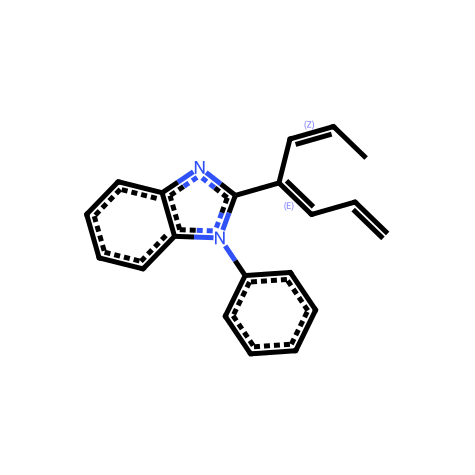 C=C/C=C(\C=C/C)c1nc2ccccc2n1-c1ccccc1